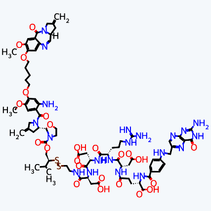 C=C1C[C@H]2C=Nc3cc(OCCCCCOc4cc(N)c(C(=O)N5CC(=C)C[C@H]5C5OCCN5C(=O)OC[C@@H](SSCCNC(=O)[C@H](CC(=O)O)NC(=O)[C@H](CC(=O)O)NC(=O)[C@H](CCCNC(=N)N)NC(=O)[C@H](CC(=O)O)NC(=O)CC[C@H](NC(=O)c5ccc(NCc6cnc7nc(N)[nH]c(=O)c7n6)cc5)C(=O)O)C(C)C)cc4OC)c(OC)cc3C(=O)N2C1